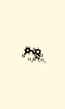 CN1C(=O)C2(CCCC3SC(c4cccc(C#N)c4)=CC32)N=C1N